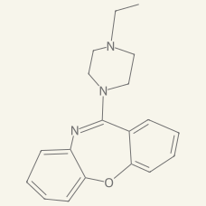 CCN1CCN(C2=Nc3ccccc3Oc3ccccc32)CC1